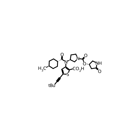 CC(C)(C)C#Cc1cc(N(C(=O)[C@H]2CC[C@H](C)CC2)[C@H]2CCN(C(=O)O[C@@H]3CNC(=O)C3)C2)c(C(=O)O)s1